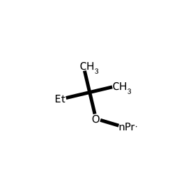 CC[CH]OC(C)(C)CC